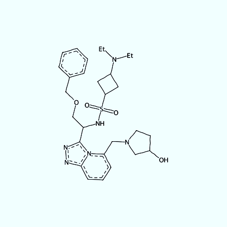 CCN(CC)C1CC(S(=O)(=O)NC(COCc2ccccc2)c2nnc3cccc(CN4CCC(O)C4)n23)C1